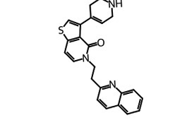 O=c1c2c(C3=CCNCC3)csc2ccn1CCc1ccc2ccccc2n1